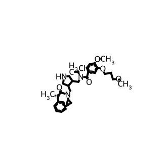 COCCCOc1cc(C(=O)N(CC2CNCC2CN(C(=O)[C@@H](C)c2ccccc2)C2CC2)C(C)C)ccc1OC